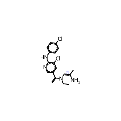 C=C(c1cnc(Nc2ccc(Cl)cc2)c(Cl)c1)N(/C=C(/C)N)CC